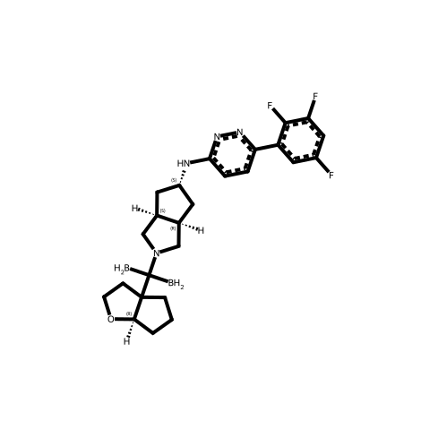 BC(B)(N1C[C@H]2C[C@H](Nc3ccc(-c4cc(F)cc(F)c4F)nn3)C[C@H]2C1)C12CCC[C@H]1OCC2